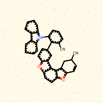 N#Cc1cccc(-n2c3ccccc3c3ccccc32)c1-c1ccc2oc3ccc4oc5c(c4c3c2c1)CC(C#N)C=C5